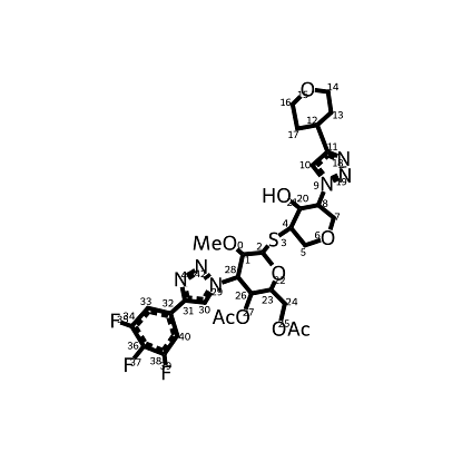 COC1C(SC2COCC(n3cc(C4CCOCC4)nn3)C2O)OC(COC(C)=O)C(OC(C)=O)C1n1cc(-c2cc(F)c(F)c(F)c2)nn1